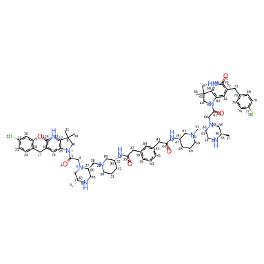 C[C@@H]1CN(CC(=O)N2CC(C)(C)c3[nH]c(=O)c(Cc4ccc(F)cc4)cc32)[C@@H](CN2CCC[C@@H](NC(=O)Cc3cccc(CC(=O)N[C@@H]4CCCN(C[C@H]5CN[C@H](C)CN5CC(=O)N5CC(C)(C)c6[nH]c(=O)c(Cc7ccc(F)cc7)cc65)C4)c3)C2)CN1